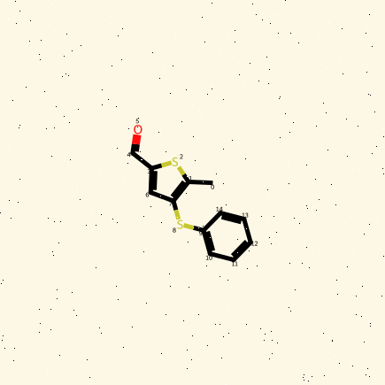 Cc1sc(C=O)cc1Sc1ccccc1